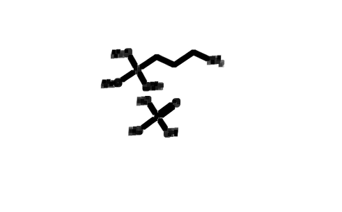 CO[Si](CCCN)(OC)OC.O=P(O)(O)O